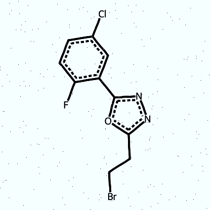 Fc1ccc(Cl)cc1-c1nnc(CCBr)o1